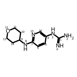 N=C(N)Nc1ccc(NC2CCOCC2)nc1